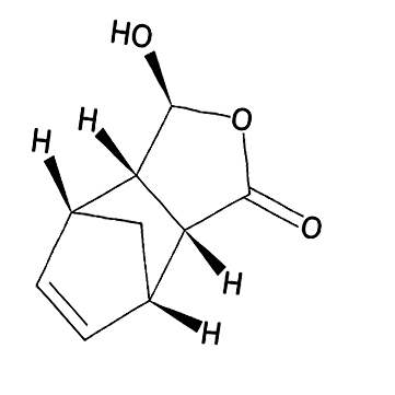 O=C1O[C@H](O)[C@@H]2[C@H]1[C@@H]1C=C[C@H]2C1